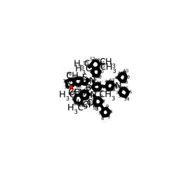 Cc1cc(-c2ccccc2)cc(C)c1N1c2cc3c(cc2B2c4c(cc(-c5ccc(N(c6ccccc6)c6ccccc6)cc5)cc41)N(c1ccc4c(c1)C(C)(C)CCC4(C)C)c1sc4cc5c(cc4c12)C1(C)CCC5(C)CC1)C(C)(C)CCC3(C)C